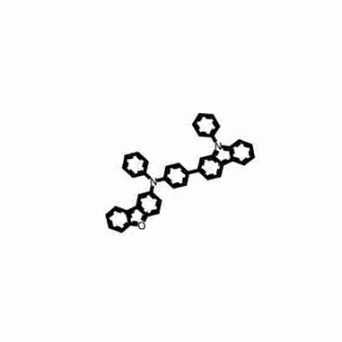 c1ccc(N(c2ccc(-c3ccc4c5ccccc5n(-c5ccccc5)c4c3)cc2)c2ccc3oc4ccccc4c3c2)cc1